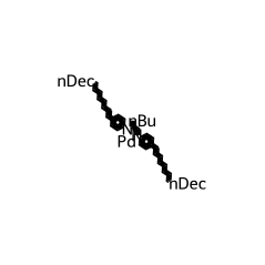 CCCCCCCCCCCCCCCCC=Cc1ccc(N=CC(CCCC)=Nc2ccc(C=CCCCCCCCCCCCCCCCC)cc2)cc1.[Pd]